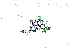 N#Cc1c(Cl)nc2c(F)c(Br)c(Cl)cc2c1N1CCN(C(=O)O)CC1